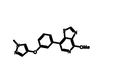 COc1ncc(-c2cccc(Oc3cnn(C)c3)c2)c2scnc12